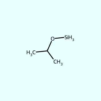 C[C](C)O[SiH3]